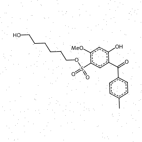 COc1cc(O)c(C(=O)c2ccc(C)cc2)cc1S(=O)(=O)OCCCCCCO